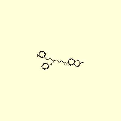 CN1C=Cc2cc(OCCCN(CCc3cccnc3)Cc3ccncc3)ccc2C1